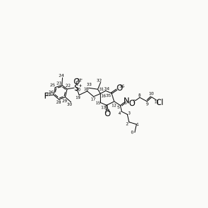 CCCCCC(=NOCC=CCl)C1C(=O)CC(CCC[S+]([O-])c2c(C)cc(F)cc2C)(C(C)C)CC1=O